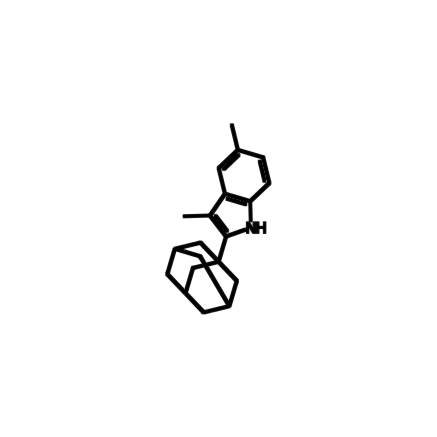 Cc1ccc2[nH]c(C34CC5CC(CC(C5)C3)C4)c(C)c2c1